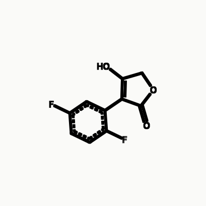 O=C1OCC(O)=C1c1cc(F)ccc1F